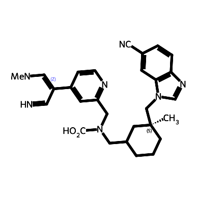 CN/C=C(\C=N)c1ccnc(CN(CC2CCC[C@](C)(Cn3cnc4ccc(C#N)cc43)C2)C(=O)O)c1